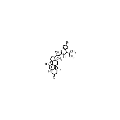 CC(C)C(NC(=O)C[C@@H](C)C1CC[C@H]2[C@@H]3[C@H](O)C[C@@H]4CC(=O)CC[C@]4(C)[C@H]3CC[C@]12C)c1ccc(Br)s1